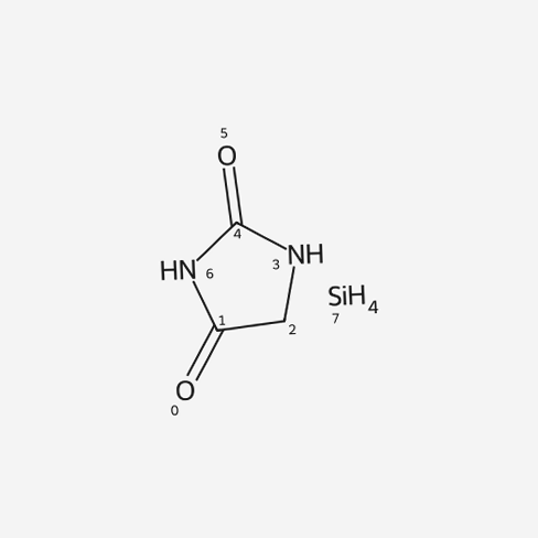 O=C1CNC(=O)N1.[SiH4]